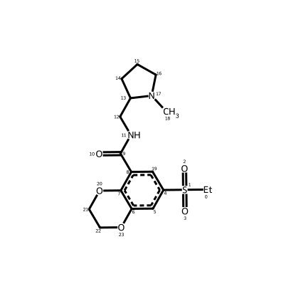 CCS(=O)(=O)c1cc2c(c(C(=O)NCC3CCCN3C)c1)OCCO2